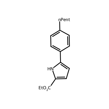 CCCCCc1ccc(-c2ccc(C(=O)OCC)[nH]2)cc1